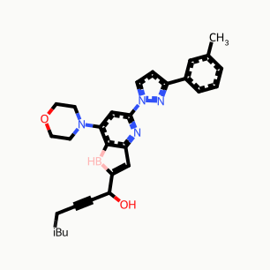 CCC(C)CC#CC(O)C1=Cc2nc(-n3ccc(-c4cccc(C)c4)n3)cc(N3CCOCC3)c2B1